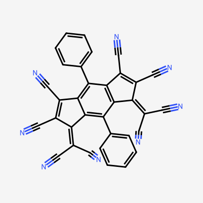 N#CC(C#N)=C1C(C#N)=C(C#N)c2c1c(-c1ccccc1)c1c(c2-c2ccccc2)C(C#N)=C(C#N)C1=C(C#N)C#N